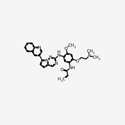 C=CC(=O)Nc1cc(Nc2ncc3ccc(-c4cnc5ccccc5c4)n3n2)c(OC)cc1OCCN(C)C